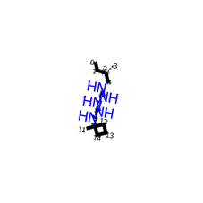 CC[C@H](C)CNNNNNC1(C)CCC1